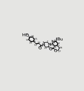 CC(C)(C)c1cc2c(c(N3CCN(C(=O)C=Cc4ccc(O)cc4)CC3)n1)C(=O)OCC2